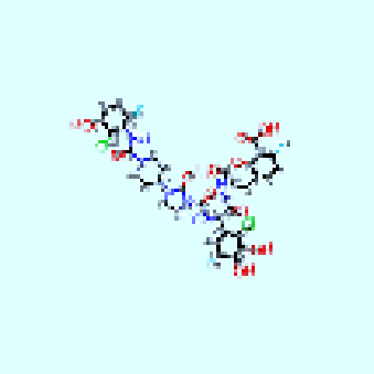 O=C(O)c1c(F)ccc2c1OB(O)[C@@H](NC(=O)[C@H](NC(=O)N1CCN(C3CCN(C(=O)Nc4c(F)ccc(O)c4Cl)CC3)C1=O)c1cc(F)c(O)c(O)c1Cl)C2